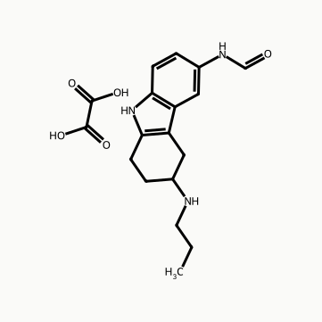 CCCNC1CCc2[nH]c3ccc(NC=O)cc3c2C1.O=C(O)C(=O)O